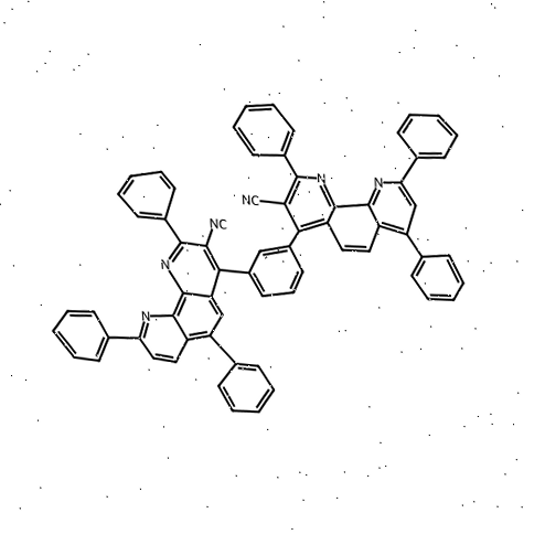 [C-]#[N+]c1c(-c2ccccc2)nc2c(cc(-c3ccccc3)c3ccc(-c4ccccc4)nc32)c1-c1cccc(-c2c(C#N)c(-c3ccccc3)nc3c2ccc2c(-c4ccccc4)cc(-c4ccccc4)nc23)c1